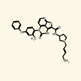 Cc1cc(Oc2ccccc2)ccc1N1C(=O)Nc2c(C(=O)NC3CCN(CC=CCN)C3)sc3nccc1c23